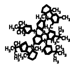 Cc1cc(C)c2c(c1)C1(C)CCCCC1(C)N2c1ccc2c(c1)B1c3ccc(C(C)(C)C)cc3N(c3cccc(C(C)(C)C)c3)c3cc(N4c5ccc(C(C)(C)C)cc5C5(C)CCCCC45C)cc(c31)N2c1ccc(C(C)(C)C)cc1